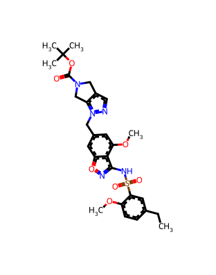 CCc1ccc(OC)c(S(=O)(=O)Nc2noc3cc(Cn4ncc5c4CN(C(=O)OC(C)(C)C)C5)cc(OC)c23)c1